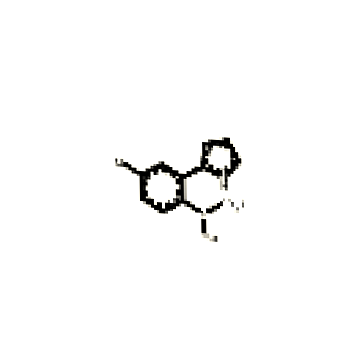 CC(C)(C)N(C(=O)O)c1ccc(Cl)cc1-c1ccc[nH]1